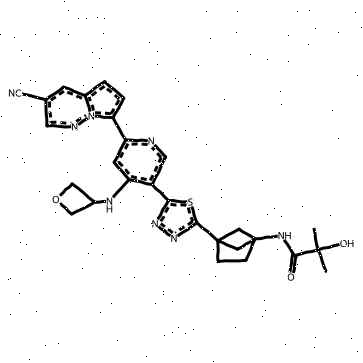 CC(C)(O)C(=O)NC12CCC(c3nnc(-c4cnc(-c5ccc6cc(C#N)cnn56)cc4NC4COC4)s3)(C1)C2